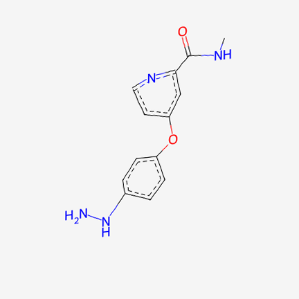 CNC(=O)c1cc(Oc2ccc(NN)cc2)ccn1